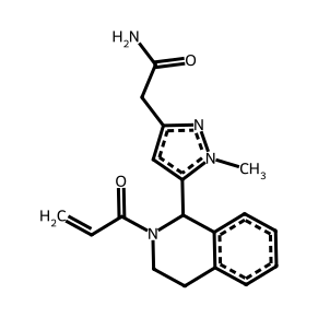 C=CC(=O)N1CCc2ccccc2C1c1cc(CC(N)=O)nn1C